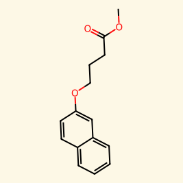 COC(=O)CCCOc1ccc2ccccc2c1